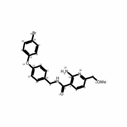 COCc1ccc(C(=O)NCc2ccc(Oc3ccc(Br)cc3)cc2)c(N)n1